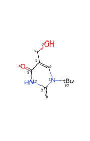 C=C1NC(=O)C(CO)=CN1C(C)(C)C